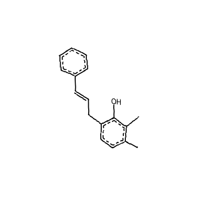 Cc1ccc(C/C=C/c2ccccc2)c(O)c1C